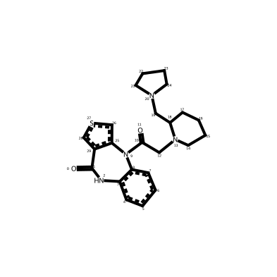 O=C1Nc2ccccc2N(C(=O)CN2CCCCC2CN2CCCC2)c2cscc21